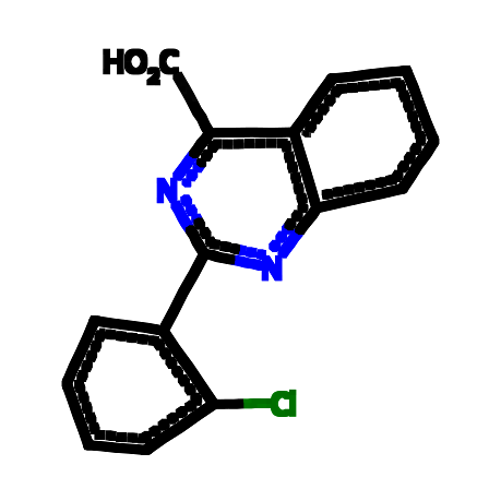 O=C(O)c1nc(-c2ccccc2Cl)nc2ccccc12